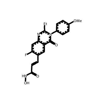 CCc1nc2cc(F)c(/C=C/C(=O)NO)cc2c(=O)n1-c1ccc(OC)cc1